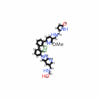 COc1nc(-c2cccc(-c3cccc(-n4cc5cc(CNCO)cnc5n4)c3Cl)c2Cl)ccc1CNC[C@@H]1CCC(=O)N1